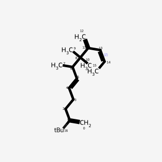 C=C(CCC=CC(C)C(C)(C)C(=C)/C=C\C)C(C)(C)C